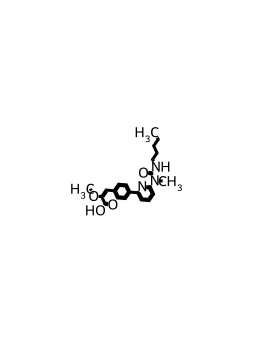 CCCCCNC(=O)N(C)c1cccc(-c2ccc(/C=C(/OC)C(=O)O)cc2)n1